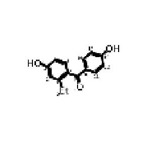 CCc1cc(O)ccc1C(=O)c1ccc(O)cc1